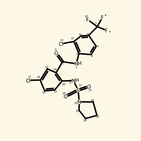 O=C(Nc1ccc(C(F)(F)F)cc1Cl)c1cc(Cl)ccc1NS(=O)(=O)N1CCCC1